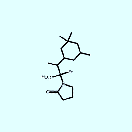 CCC(C(=O)O)(C(C)C1CC(C)CC(C)(C)C1)N1CCCC1=O